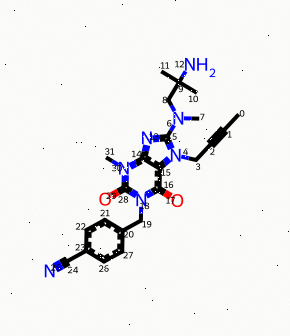 CC#CCn1c(N(C)CC(C)(C)N)nc2c1c(=O)n(Cc1ccc(C#N)cc1)c(=O)n2C